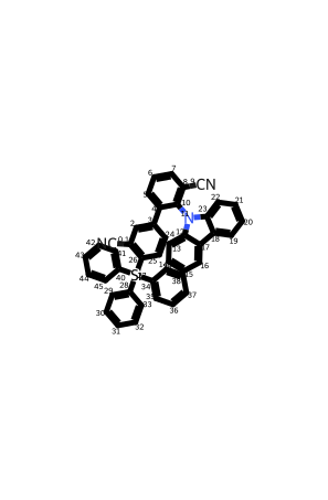 N#Cc1cc(-c2cccc(C#N)c2-n2c3ccccc3c3ccccc32)ccc1[Si](c1ccccc1)(c1ccccc1)c1ccccc1